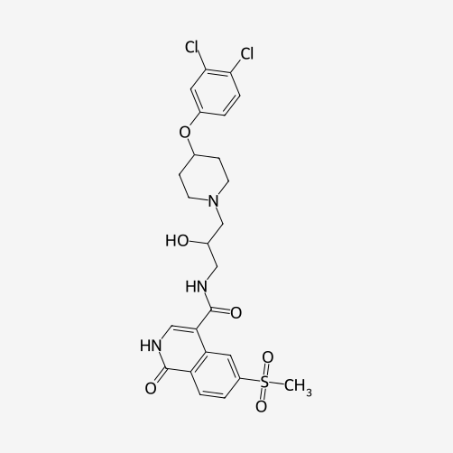 CS(=O)(=O)c1ccc2c(=O)[nH]cc(C(=O)NCC(O)CN3CCC(Oc4ccc(Cl)c(Cl)c4)CC3)c2c1